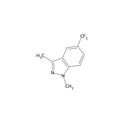 Cc1nn(C)c2ccc(C(F)(F)F)cc12